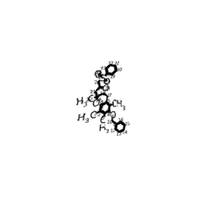 Cc1c(C)c2c(c(C)c1OCc1ccccc1)CCC(C)(CC(=O)CS(=O)(=O)c1ccccc1)O2